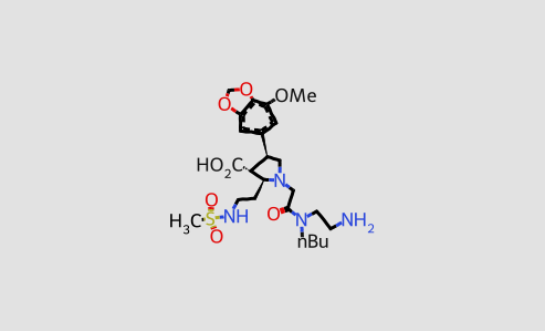 CCCCN(CCN)C(=O)CN1C[C@H](c2cc(OC)c3c(c2)OCO3)[C@@H](C(=O)O)[C@@H]1CCNS(C)(=O)=O